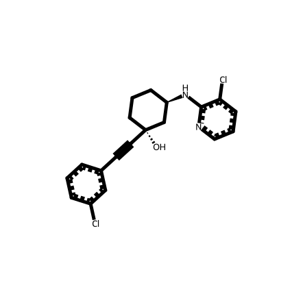 O[C@]1(C#Cc2cccc(Cl)c2)CCC[C@@H](Nc2ncccc2Cl)C1